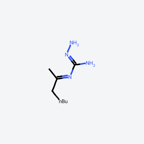 CCCCCC(C)=NC(N)=NN